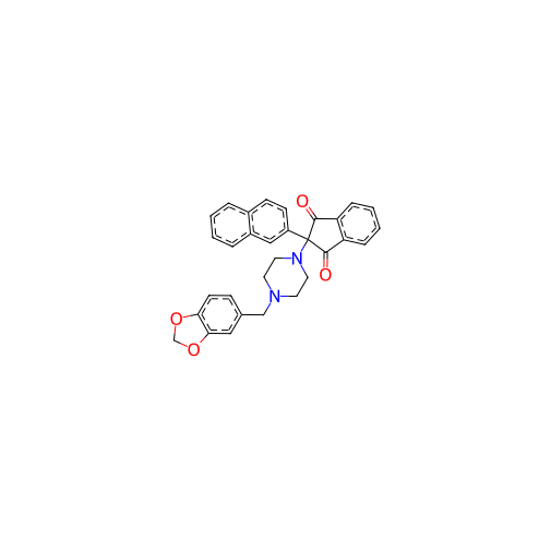 O=C1c2ccccc2C(=O)C1(c1ccc2ccccc2c1)N1CCN(Cc2ccc3c(c2)OCO3)CC1